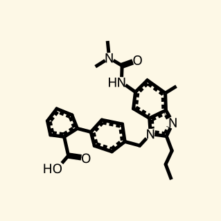 CCCc1nc2c(C)cc(NC(=O)N(C)C)cc2n1Cc1ccc(-c2ccccc2C(=O)O)cc1